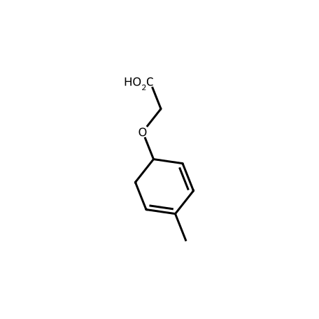 CC1=CCC(OCC(=O)O)C=C1